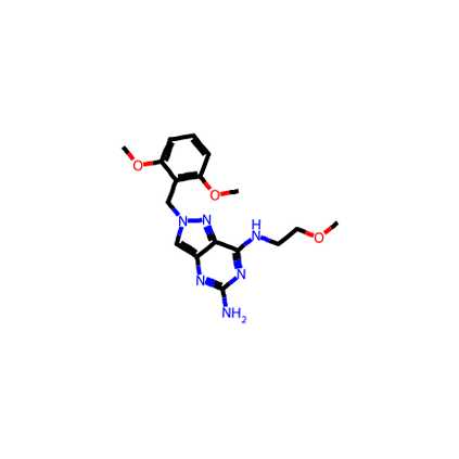 COCCNc1nc(N)nc2cn(Cc3c(OC)cccc3OC)nc12